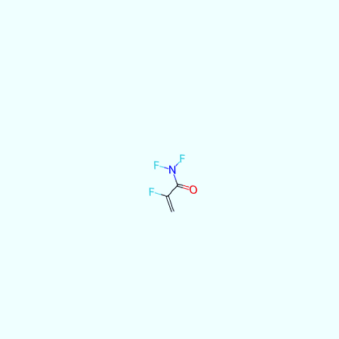 C=C(F)C(=O)N(F)F